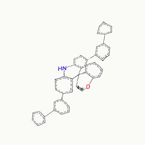 c1ccc(-c2cccc(-c3ccc4c(c3)C3(c5cc(-c6cccc(-c7ccccc7)c6)ccc5N4)c4ccccc4Oc4ccccc43)c2)cc1